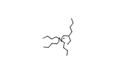 CCCCC(CC)C[N+](CCCC)(CCCC)CCCC